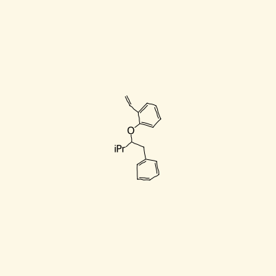 C=Cc1ccccc1OC(Cc1ccccc1)C(C)C